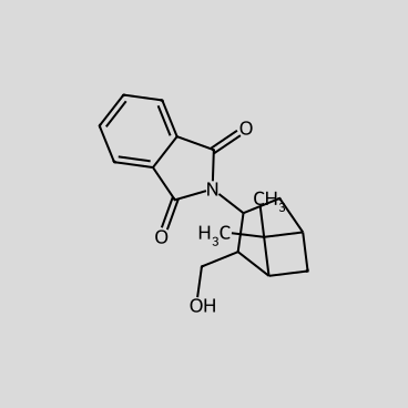 CC1(C)C2CC(N3C(=O)c4ccccc4C3=O)C(CO)C1C2